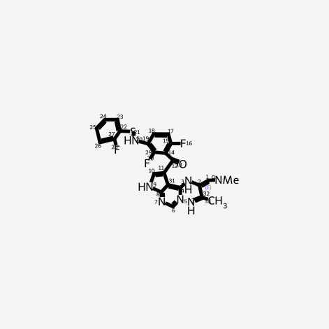 CN/C=C(/Nc1ncnc2[nH]cc(C(=O)c3c(F)ccc(NSc4ccccc4F)c3F)c12)C(C)=N